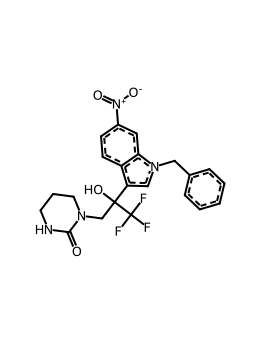 O=C1NCCCN1CC(O)(c1cn(Cc2ccccc2)c2cc([N+](=O)[O-])ccc12)C(F)(F)F